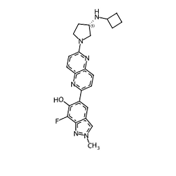 Cn1cc2cc(-c3ccc4nc(N5CC[C@H](NC6CCC6)C5)ccc4n3)c(O)c(F)c2n1